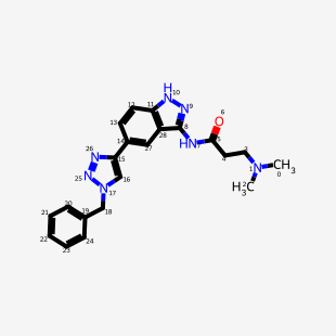 CN(C)CCC(=O)Nc1n[nH]c2ccc(-c3cn(Cc4ccccc4)nn3)cc12